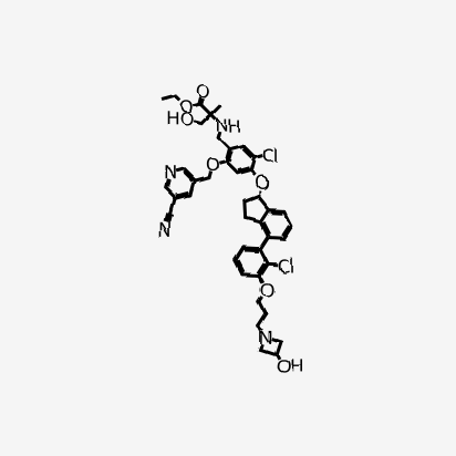 CCOC(=O)C(C)(CO)NCc1cc(Cl)c(O[C@H]2CCc3c(-c4cccc(OCCCN5CC(O)C5)c4Cl)cccc32)cc1OCc1cncc(C#N)c1